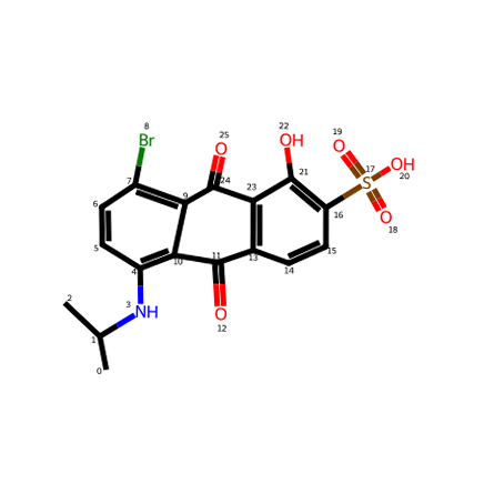 CC(C)Nc1ccc(Br)c2c1C(=O)c1ccc(S(=O)(=O)O)c(O)c1C2=O